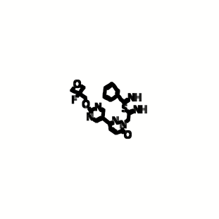 N=C(Cn1nc(-c2cnc(OCC3(F)COC3)nc2)ccc1=O)SC(=N)c1ccccc1